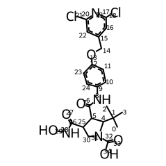 CC(C)(C)C1C(C(=O)Nc2ccc(OCc3cc(Cl)nc(Cl)c3)cc2)C(C(=O)NO)CN1C(=O)O